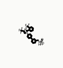 O=[SH](=O)NCc1cccc(-c2ccc(-n3cc(C(F)(F)F)nc3-c3ccccc3C(F)(F)F)cc2)c1